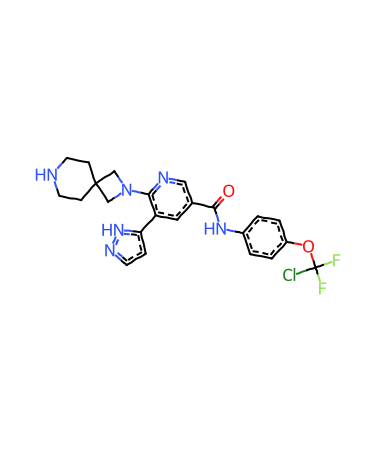 O=C(Nc1ccc(OC(F)(F)Cl)cc1)c1cnc(N2CC3(CCNCC3)C2)c(-c2ccn[nH]2)c1